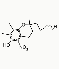 Cc1c(C)c2c(c([N+](=O)[O-])c1O)CCC(C)(CCC(=O)O)O2